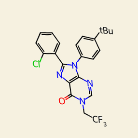 CC(C)(C)c1ccc(-n2c(-c3ccccc3Cl)nc3c(=O)n(CC(F)(F)F)cnc32)cc1